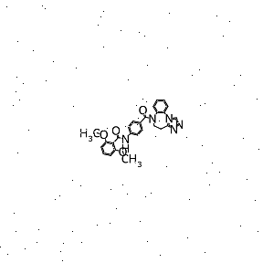 COc1cccc(OC)c1C(=O)Nc1ccc(C(=O)N2CCc3nncn3-c3ccccc32)cc1